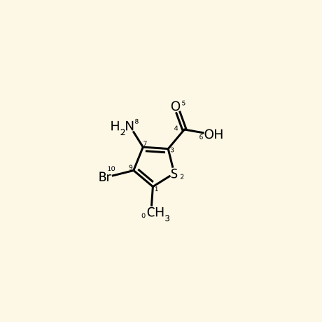 Cc1sc(C(=O)O)c(N)c1Br